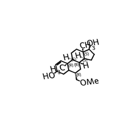 COC[C@@H]1C[C@@H]2[C@H](CC[C@]3(C)C(O)CC[C@@H]23)[C@@]2(C)C=CC(O)CC12